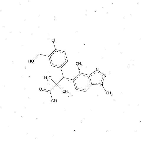 Cc1c(C(c2ccc(Cl)c(CO)c2)C(C)(C)C(=O)O)ccc2c1nnn2C